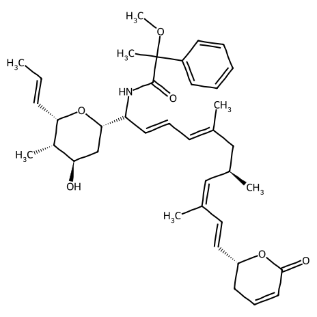 C/C=C/[C@@H]1O[C@H](C(/C=C/C=C(\C)C[C@@H](C)/C=C(C)\C=C\[C@H]2CC=CC(=O)O2)NC(=O)C(C)(OC)c2ccccc2)C[C@@H](O)[C@@H]1C